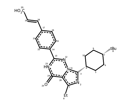 CCc1nc([C@H]2CC[C@@H](C(C)(C)C)CC2)n2nc(-c3ccc(/C=C/C(=O)O)cc3)[nH]c(=O)c12